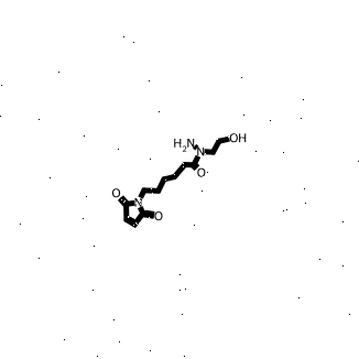 NN(CCO)C(=O)CCCCCN1C(=O)C=CC1=O